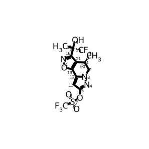 C[C@H]1Cn2nc(OS(=O)(=O)C(F)(F)F)cc2-c2onc([C@@](C)(O)C(F)(F)F)c21